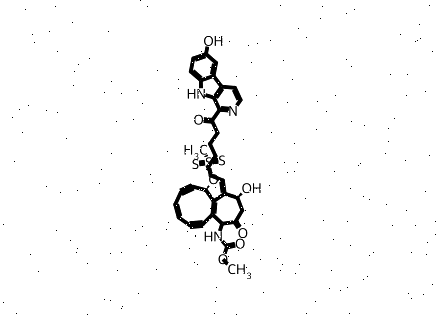 COC(=O)NC1C(=O)C[C@H](O)/C(=C/CS(C)(=S)=S)C2=C1C#C/C=C\C#C[C@@H]2OCCCCC(=O)c1nccc2c1[nH]c1ccc(O)cc12